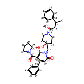 CC(CC(=O)N1CCC(O)(Cn2cc(C(=O)N3CCC[C@@H]3C)c(-c3ccccc3)cc2=O)CC1)c1ccccc1